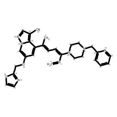 C=N/C(=C\C=C(/C)c1cc(OCc2ncco2)cn2ncc(C#N)c12)N1CCN(Cc2ccccn2)CC1